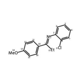 CCC(=Nc1ccccc1Cl)c1ccc(OC)cc1